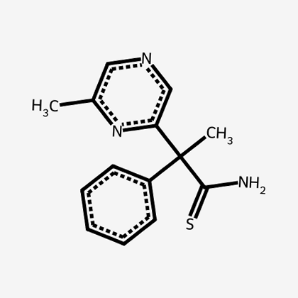 Cc1cncc(C(C)(C(N)=S)c2ccccc2)n1